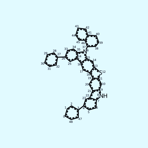 c1ccc(-c2ccc3[nH]c4cc5sc6cc7c(cc6c5cc4c3c2)c2cc(-c3ccccc3)ccc2n7-c2cccc3ccccc23)cc1